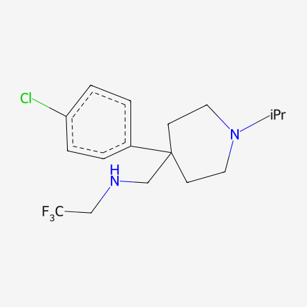 CC(C)N1CCC(CNCC(F)(F)F)(c2ccc(Cl)cc2)CC1